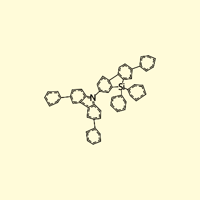 c1ccc(-c2ccc3c(c2)[Si](c2ccccc2)(c2ccccc2)c2cc(-n4c5ccc(-c6ccccc6)cc5c5cc(-c6ccccc6)ccc54)ccc2-3)cc1